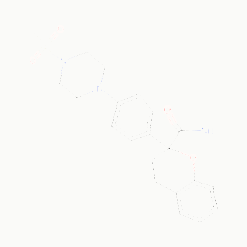 CS(=O)(=O)N1CCN(c2ccc(C3(C(N)=O)CCc4ccccc4O3)cc2)CC1